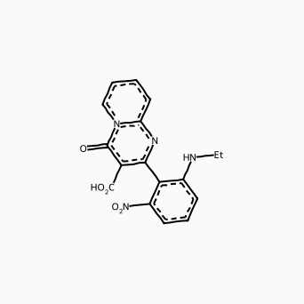 CCNc1cccc([N+](=O)[O-])c1-c1nc2ccccn2c(=O)c1C(=O)O